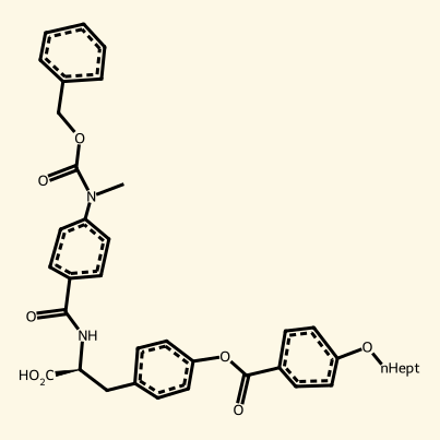 CCCCCCCOc1ccc(C(=O)Oc2ccc(C[C@H](NC(=O)c3ccc(N(C)C(=O)OCc4ccccc4)cc3)C(=O)O)cc2)cc1